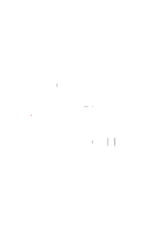 CC/C(=C(/C)C(=O)O)[S+]([O-])CC